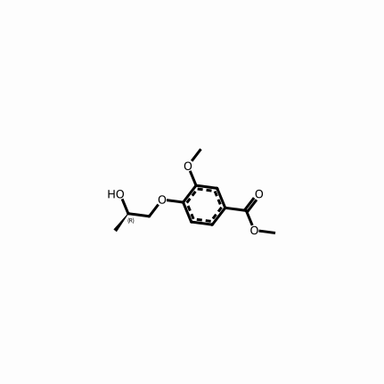 COC(=O)c1ccc(OC[C@@H](C)O)c(OC)c1